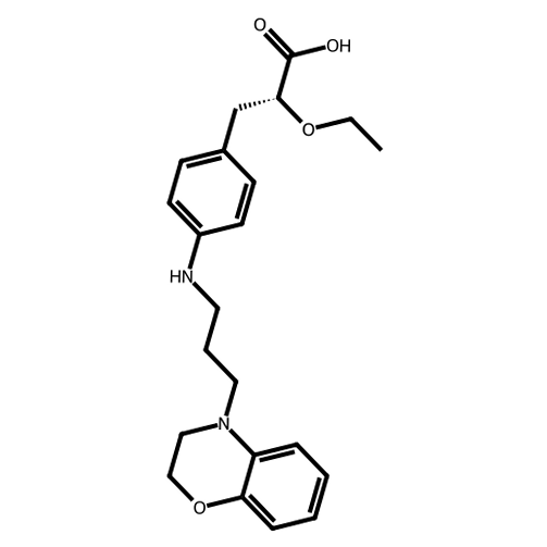 CCO[C@H](Cc1ccc(NCCCN2CCOc3ccccc32)cc1)C(=O)O